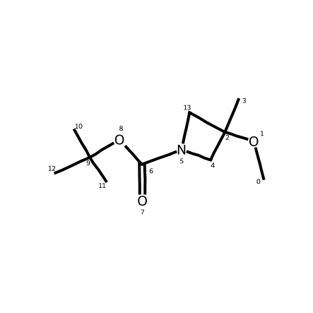 COC1(C)CN(C(=O)OC(C)(C)C)C1